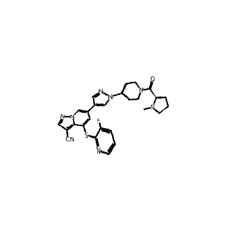 CN1CCC[C@@H]1C(=O)N1CCC(n2cc(-c3cc(Sc4ncccc4F)c4c(C#N)cnn4c3)cn2)CC1